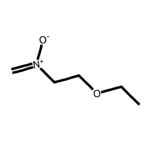 C=[N+]([O-])CCOCC